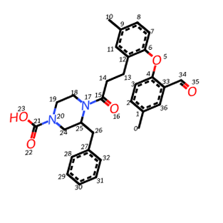 Cc1ccc(Oc2ccc(C)cc2CCC(=O)N2CCN(C(=O)O)CC2Cc2ccccc2)c(C=O)c1